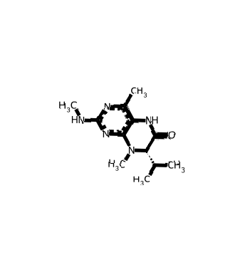 CNc1nc(C)c2c(n1)N(C)[C@@H](C(C)C)C(=O)N2